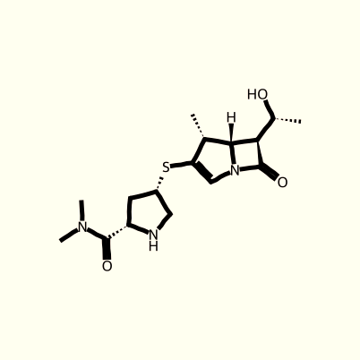 C[C@@H](O)[C@H]1C(=O)N2C=C(S[C@@H]3CN[C@H](C(=O)N(C)C)C3)[C@H](C)[C@H]12